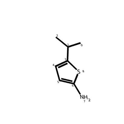 CC(C)c1ccc(N)s1